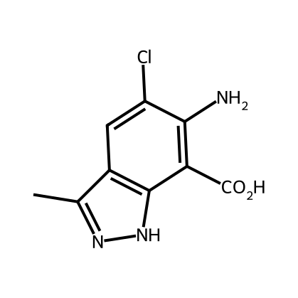 Cc1n[nH]c2c(C(=O)O)c(N)c(Cl)cc12